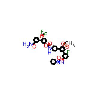 CS(=O)(=O)c1cc(-c2cc(OC(=O)NC3CCCCC3)ccc2F)cc(C2CCC(NC(=O)Oc3ccc(OC(F)F)c(-c4cccc(C(N)=O)c4)c3)CC2)c1